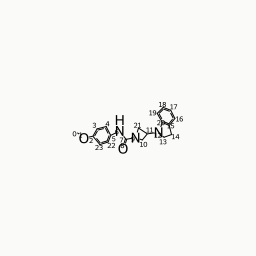 COc1ccc(NC(=O)N2CC(N3CCc4ccccc43)C2)cc1